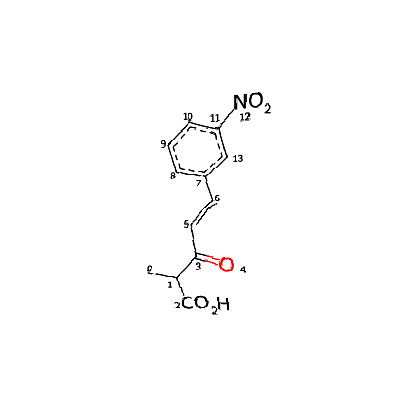 CC(C(=O)O)C(=O)C=Cc1cccc([N+](=O)[O-])c1